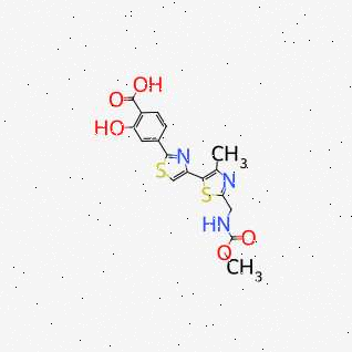 COC(=O)NCc1nc(C)c(-c2csc(-c3ccc(C(=O)O)c(O)c3)n2)s1